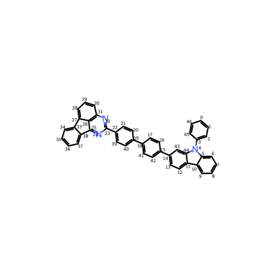 c1ccc(-n2c3ccccc3c3ccc(-c4ccc(-c5ccc(-c6nc7c8c(cccc8n6)-c6ccccc6-7)cc5)cc4)cc32)cc1